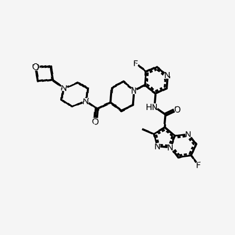 Cc1nn2cc(F)cnc2c1C(=O)Nc1cncc(F)c1N1CCC(C(=O)N2CCN(C3COC3)CC2)CC1